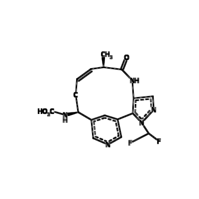 C[C@@H]1C=CC[C@H](NC(=O)O)c2cncc(c2)-c2c(cnn2C(F)F)NC1=O